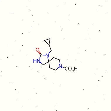 O=C(O)N1CCC2(CC1)CNC(=O)N2CC1CC1